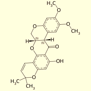 COc1cc2c(cc1OC)[C@@H]1C(=O)c3c(O)cc4c(c3O[C@@H]1CO2)C=CC(C)(C)O4